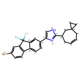 FC1(F)c2cc(Br)ccc2-c2ccc(-c3c[nH]c(C4CC=CCC5(CC5)C4)n3)cc21